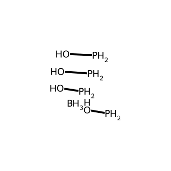 B.OP.OP.OP.OP